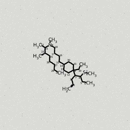 C=CCC(C(CC)SC)C1(CC)CCC(CCCCN(C)C(C)C(C)CCCCC)CC1